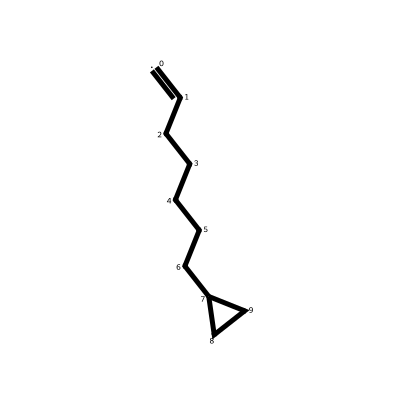 [CH]=CCCCCCC1CC1